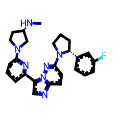 CN[C@H]1CCN(c2cccc(-c3cnc4ccc(N5CCC[C@@H]5c5cccc(F)c5)nn34)n2)C1